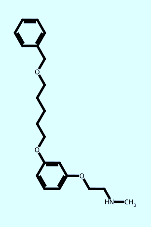 CNCCOc1cccc(OCCCCCOCc2ccccc2)c1